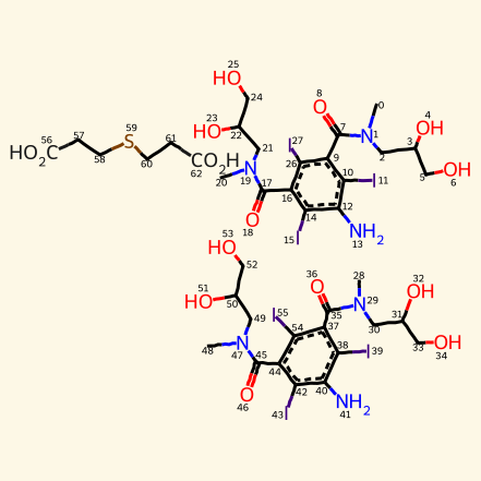 CN(CC(O)CO)C(=O)c1c(I)c(N)c(I)c(C(=O)N(C)CC(O)CO)c1I.CN(CC(O)CO)C(=O)c1c(I)c(N)c(I)c(C(=O)N(C)CC(O)CO)c1I.O=C(O)CCSCCC(=O)O